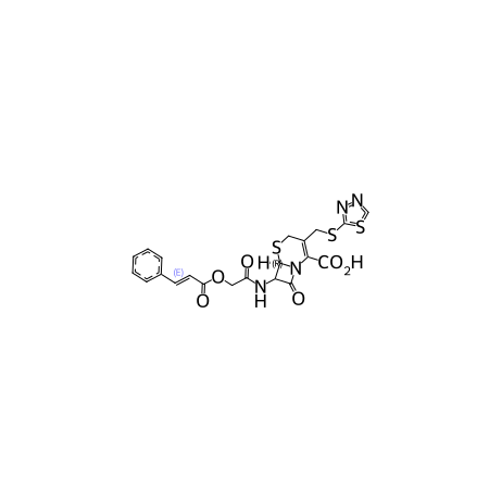 O=C(COC(=O)/C=C/c1ccccc1)NC1C(=O)N2C(C(=O)O)=C(CSc3nncs3)CS[C@H]12